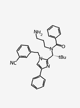 CC(C)(C)[C@H](c1nc(-c2ccccc2)cn1Cc1cccc(C#N)c1)N(CCCN)C(=O)c1ccccc1